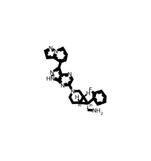 NC[C@]1(c2ccccc2F)[C@@H]2CCN(c3cnc4c(-c5cccn6nccc56)n[nH]c4n3)C[C@@H]21